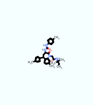 CCC(C)(C)NC(=O)CN1C(=O)C(NC(=O)Nc2ccc(C)cc2)CC(c2ccc(C)cc2)c2ccc(C)cc21